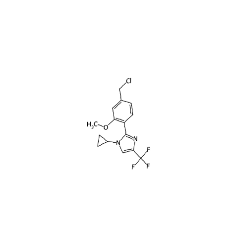 COc1cc(CCl)ccc1-c1nc(C(F)(F)F)cn1C1CC1